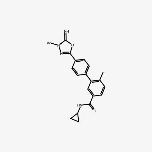 CC(=O)n1nc(-c2ccc(-c3cc(C(=O)NC4CC4)ccc3C)cc2)oc1=N